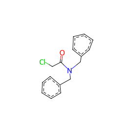 O=C(CCl)N(Cc1ccccc1)Cc1ccccc1